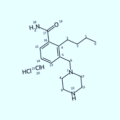 CCCCc1c(CN2CCNCC2)cccc1C(N)=O.Cl.Cl